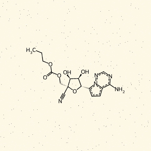 CCCOC(=O)OC[C@@]1(C#N)O[C@@H](c2ccc3c(N)ncnn23)[C@H](O)[C@@H]1O